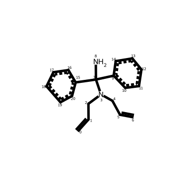 C=CCN(CC=C)C(N)(c1ccccc1)c1ccccc1